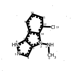 CNn1c2cn[nH]c2c2cccc(Cl)c21